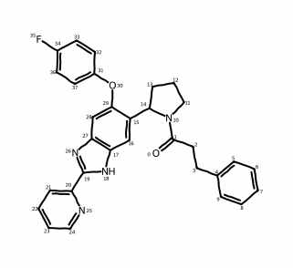 O=C(CCc1ccccc1)N1CCCC1c1cc2[nH]c(-c3ccccn3)nc2cc1Oc1ccc(F)cc1